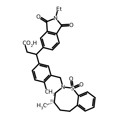 CCN1C(=O)c2ccc(C(CC(=O)O)c3ccc(C)c(CN4C[C@@H](C)CCc5ccccc5S4(=O)=O)c3)cc2C1=O